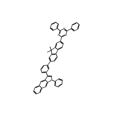 CC1(C)c2cc(-c3cccc(-c4cn(-c5ccccc5)c5cc6ccccc6cc45)c3)ccc2-c2ccc(-c3nc(-c4ccccc4)nc(-c4ccccc4)n3)cc21